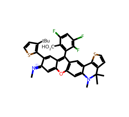 C/N=c1\cc2oc3cc4c(cc3c(-c3c(F)c(F)cc(F)c3C(=O)O)c-2cc1-c1sccc1C(C)(C)C)-c1sccc1C(C)(C)N4C